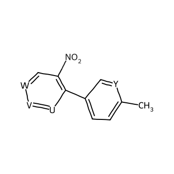 C[C]1=CC=C([C]2=C([N+](=O)[O-])[CH]=[W][V]=[U]2)[CH]=[Y]1